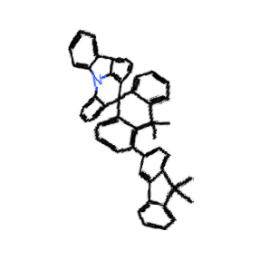 CC1(C)c2ccccc2-c2cc(-c3cccc4c3C(C)(C)c3ccccc3C43c4ccccc4-n4c5ccccc5c5cccc3c54)ccc21